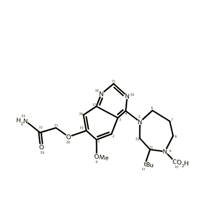 COc1cc2c(N3CCCN(C(=O)O)C(C(C)(C)C)C3)ncnc2cc1OCC(N)=O